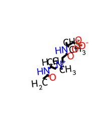 C=CC(=O)NC(C)C[N+](C)(C)CCC(=O)NC(C)(C)CS(=O)(=O)[O-]